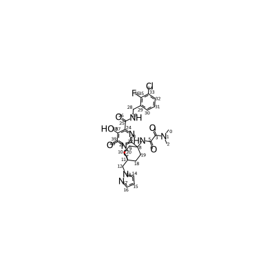 CN(C)C(=O)C(=O)NC12CCC(Cn3cccn3)(CC1)Cn1c2nc(C(=O)NCc2cccc(Cl)c2F)c(O)c1=O